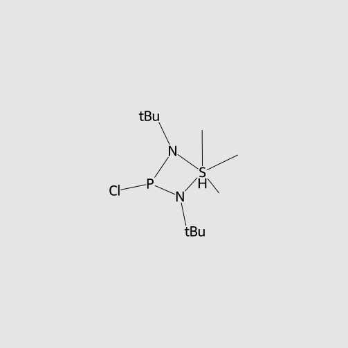 CC(C)(C)N1P(Cl)N(C(C)(C)C)[SH]1(C)(C)C